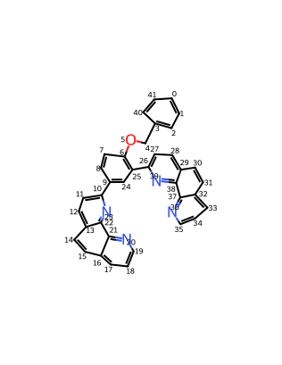 c1ccc(COc2ccc(-c3ccc4ccc5cccnc5c4n3)cc2-c2ccc3ccc4cccnc4c3n2)cc1